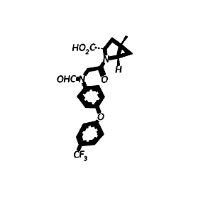 C[C@@]12C[C@@H]1N(C(=O)CN(C=O)c1ccc(Oc3ccc(C(F)(F)F)cc3)cc1)[C@H](C(=O)O)C2